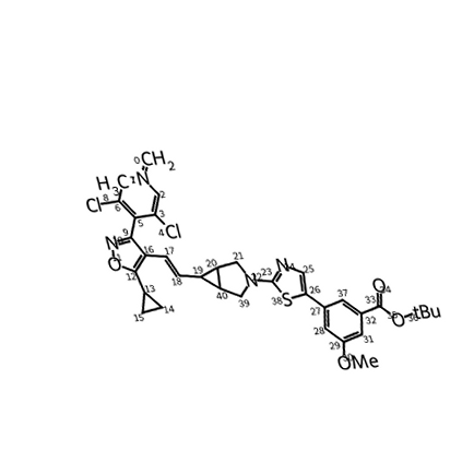 C=N/C=C(Cl)\C(=C(/C)Cl)c1noc(C2CC2)c1/C=C/C1C2CN(c3ncc(-c4cc(OC)cc(C(=O)OC(C)(C)C)c4)s3)CC12